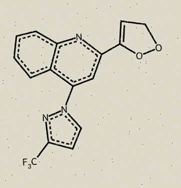 FC(F)(F)c1ccn(-c2cc(C3=CCOO3)nc3ccccc23)n1